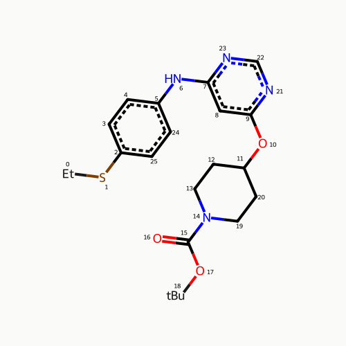 CCSc1ccc(Nc2cc(OC3CCN(C(=O)OC(C)(C)C)CC3)ncn2)cc1